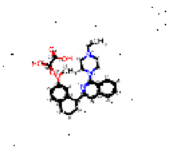 CCN1CCN(c2nc(C3CCCc4ccc(OC)cc43)cc3ccccc23)CC1.O=C(O)C(=O)O